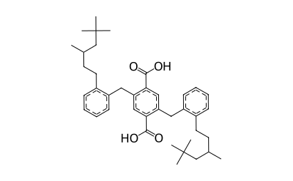 CC(CCc1ccccc1Cc1cc(C(=O)O)c(Cc2ccccc2CCC(C)CC(C)(C)C)cc1C(=O)O)CC(C)(C)C